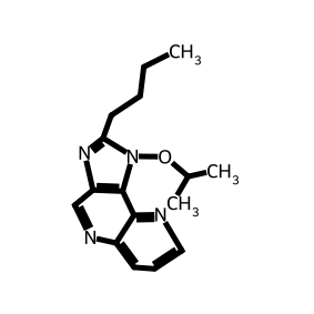 CCCCc1nc2cnc3cccnc3c2n1OC(C)C